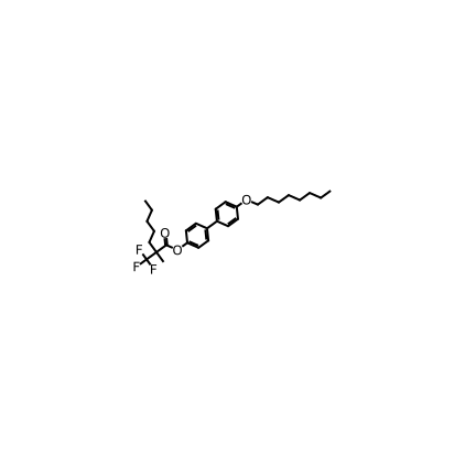 CCCCCCCCOc1ccc(-c2ccc(OC(=O)C(C)(CCCCC)C(F)(F)F)cc2)cc1